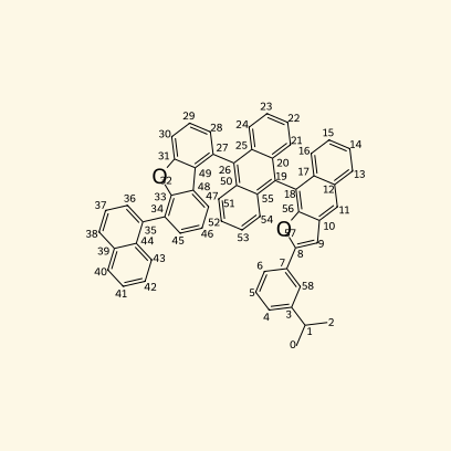 CC(C)c1cccc(-c2cc3cc4ccccc4c(-c4c5ccccc5c(-c5cccc6oc7c(-c8cccc9ccccc89)cccc7c56)c5ccccc45)c3o2)c1